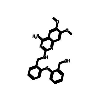 COc1cc2nc(NCc3ccccc3Sc3ccccc3CO)nc(N)c2cc1OC